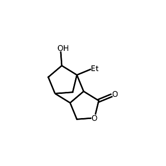 CCC12CC(CC1O)C1COC(=O)C12